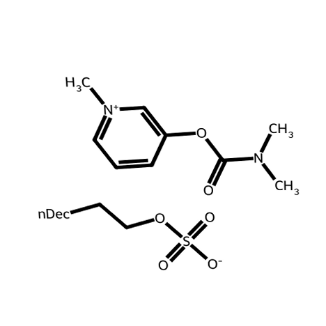 CCCCCCCCCCCCOS(=O)(=O)[O-].CN(C)C(=O)Oc1ccc[n+](C)c1